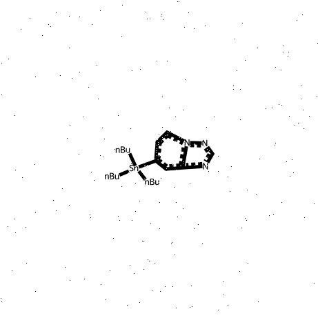 CCC[CH2][Sn]([CH2]CCC)([CH2]CCC)[c]1ccn2ncnc2c1